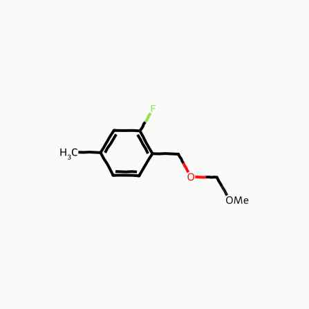 COCOCc1ccc(C)cc1F